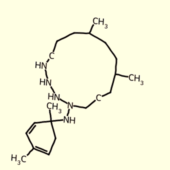 CC1=CCC(C)(NN2CCCC(C)CCC(C)CCCNNN2)C=C1